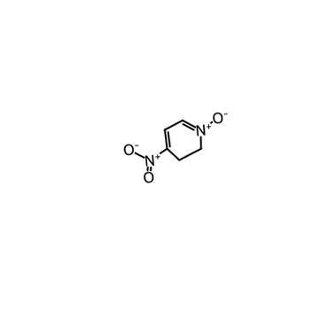 O=[N+]([O-])C1=CC=[N+]([O-])CC1